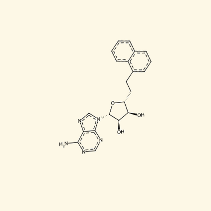 Nc1ncnc2c1ncn2[C@@H]1O[C@H](CCc2cccc3ccccc23)[C@@H](O)[C@H]1O